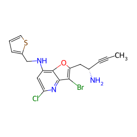 CC#C[C@H](N)Cc1oc2c(NCc3cccs3)cc(Cl)nc2c1Br